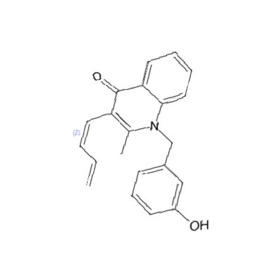 C=C/C=C\c1c(C)n(Cc2cccc(O)c2)c2ccccc2c1=O